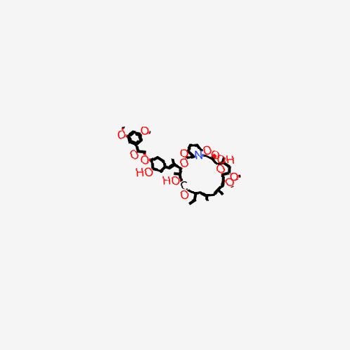 CCC1/C=C(\C)CC(C)CC(OC)C2OC(O)(C(=O)C(=O)N3CCCCC3C(=O)OC(C(C)=CC3CCC(OCC(=O)c4cc(OC)cc(OC)c4)C(O)C3)C(C)C(O)CC1=O)C(C)CC2OC